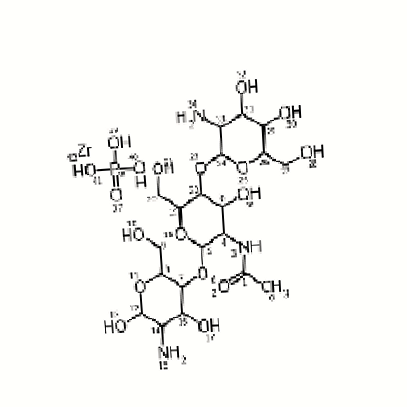 CC(=O)NC1C(OC2C(CO)OC(O)C(N)C2O)OC(CO)C(OC2OC(CO)C(O)C(O)C2N)C1O.O=P(O)(O)O.[Zr]